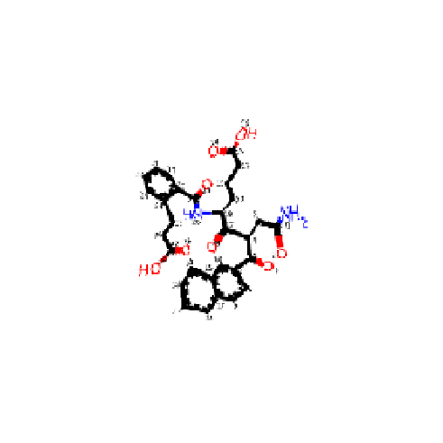 NC(=O)C[C@@H](C(=O)c1ccc2ccccc2c1)C(=O)[C@H](CCCC(=O)O)NC(=O)c1ccccc1CCC(=O)O